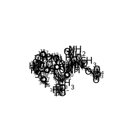 COc1c(O)cccc1-c1nccc(COc2ccccc2C[C@@H](Oc2ncnc3sc(-c4ccc(F)cc4)c(-c4ccc(OCCN5CC[N+](C)(Cc6ccc(NC(=O)[C@H](CCCNC(N)=O)NC(=O)[C@@H](NC(=O)CCOCCN7C(=O)C=CC7=O)C(C)C)cc6)CC5)c(Cl)c4C)c23)C(=O)O)n1.O=C([O-])C(F)(F)F